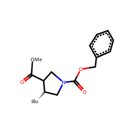 CC[C@@H](C)C1CN(C(=O)OCc2ccccc2)CC1C(=O)OC